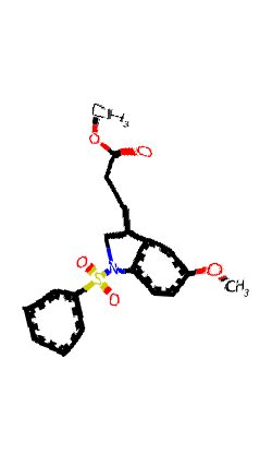 COC(=O)CCC1CN(S(=O)(=O)c2ccccc2)c2ccc(OC)cc21